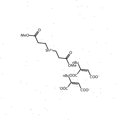 CCCC/C(=C/C(=O)[O-])C(=O)[O-].CCCC/C(=C/C(=O)[O-])C(=O)[O-].COC(=O)C[CH2][Sn+4][CH2]CC(=O)OC